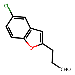 O=CCCc1cc2cc(Cl)ccc2o1